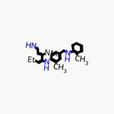 CC/C=C(Nc1ccc(CNC2=C(C)C=CCC2)cc1C)\C(=C\C=N)NC